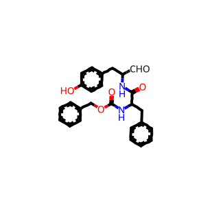 O=CC(Cc1ccc(O)cc1)NC(=O)C(Cc1ccccc1)NC(=O)OCc1ccccc1